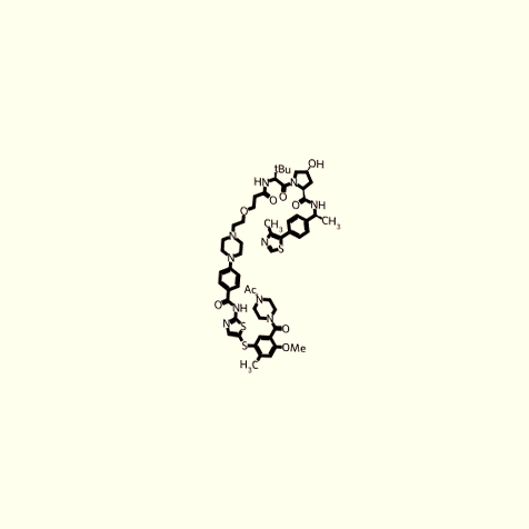 COc1cc(C)c(Sc2cnc(NC(=O)c3ccc(N4CCN(CCOCCC(=O)N[C@H](C(=O)N5C[C@H](O)C[C@H]5C(=O)N[C@@H](C)c5ccc(-c6scnc6C)cc5)C(C)(C)C)CC4)cc3)s2)cc1C(=O)N1CCN(C(C)=O)CC1